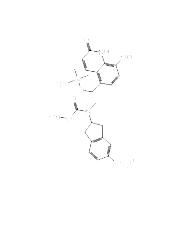 CC(C)(C)OC(=O)N(C[C@H](O[Si](C)(C)C(C)(C)C)c1ccc(O)c2[nH]c(=O)ccc12)C1Cc2ccc(C(=O)O)cc2C1